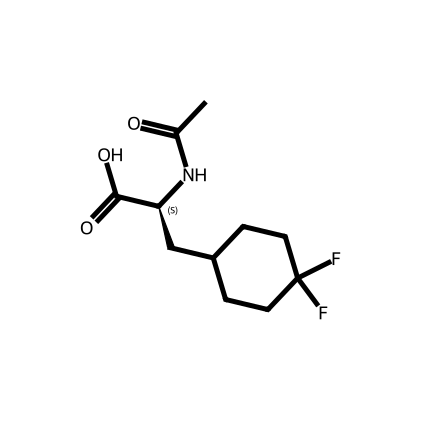 CC(=O)N[C@@H](CC1CCC(F)(F)CC1)C(=O)O